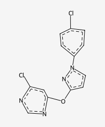 Clc1ccc(-n2ccc(Oc3cc(Cl)ncn3)n2)cc1